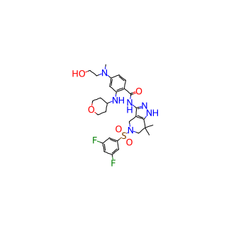 CN(CCO)c1ccc(C(=O)Nc2n[nH]c3c2CN(S(=O)(=O)c2cc(F)cc(F)c2)CC3(C)C)c(NC2CCOCC2)c1